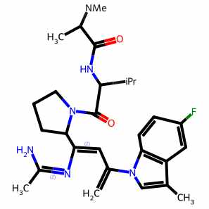 C=C(/C=C(\N=C(\C)N)C1CCCN1C(=O)C(NC(=O)C(C)NC)C(C)C)n1cc(C)c2cc(F)ccc21